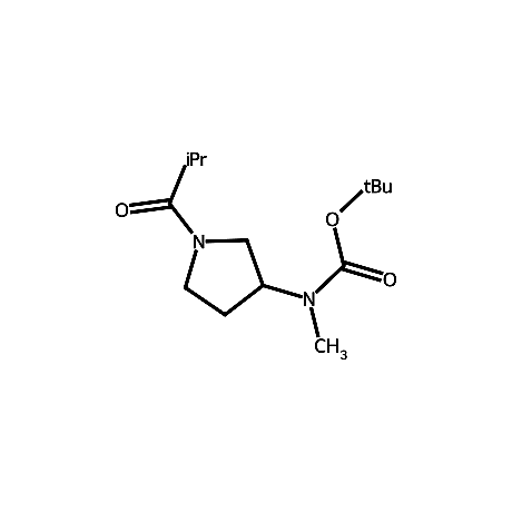 CC(C)C(=O)N1CCC(N(C)C(=O)OC(C)(C)C)C1